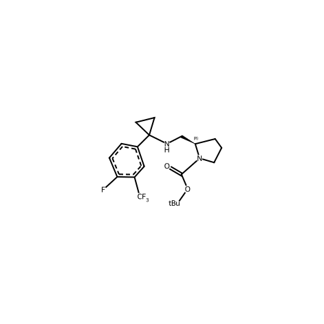 CC(C)(C)OC(=O)N1CCC[C@@H]1CNC1(c2ccc(F)c(C(F)(F)F)c2)CC1